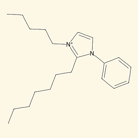 CCCCCCCc1n(-c2ccccc2)cc[n+]1CCCCC